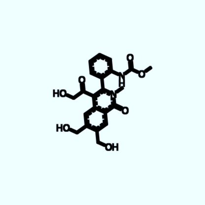 COC(=O)Nc1ccccc1-c1c(C(=O)CO)c2cc(CO)c(CO)cc2c(=O)n1C